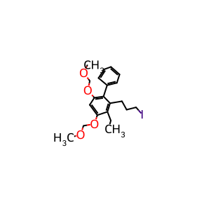 CCc1c(OCOC)cc(OCOC)c(-c2ccccc2)c1CCCI